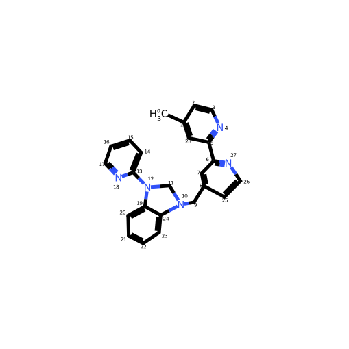 Cc1ccnc(-c2cc(CN3CN(c4ccccn4)c4ccccc43)ccn2)c1